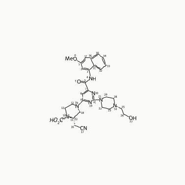 COc1cc(NC(=O)c2cc(N3CCN(C(=O)O)[C@@H](CC#N)C3)nc(N3CCN(CCO)CC3)n2)c2ccccc2c1